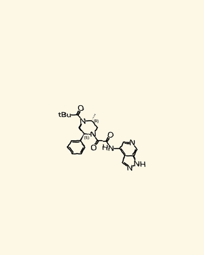 C[C@@H]1CN(C(=O)C(=O)Nc2cncc3[nH]ncc23)[C@@H](c2ccccc2)CN1C(=O)C(C)(C)C